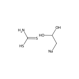 NC(=S)S.OC(O)[CH2][Na]